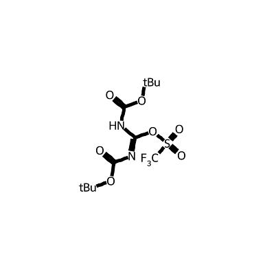 CC(C)(C)OC(=O)N=C(NC(=O)OC(C)(C)C)OS(=O)(=O)C(F)(F)F